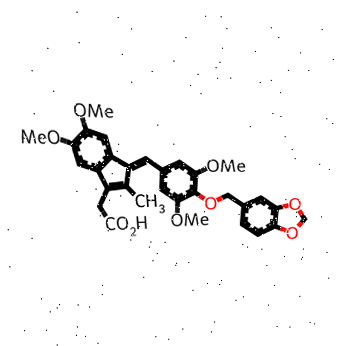 COc1cc2c(cc1OC)C(CC(=O)O)=C(C)C2=Cc1cc(OC)c(OCc2ccc3c(c2)OCO3)c(OC)c1